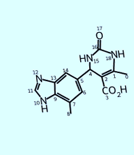 CC1=C(C(=O)O)C(c2cc(C)c3[nH]cnc3c2)NC(=O)N1